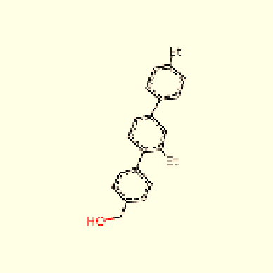 CCc1ccc(-c2ccc(-c3ccc(CO)cc3)c(CC)c2)cc1